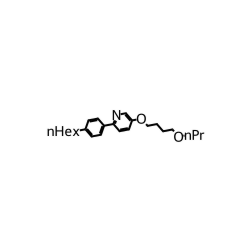 CCCCCCc1ccc(-c2ccc(OCCCCOCCC)cn2)cc1